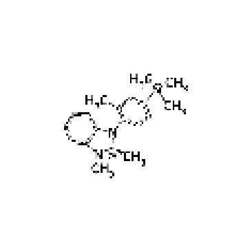 Cc1cc([Si](C)(C)C)ccc1N1c2ccccc2N(C)[C@@H]1C